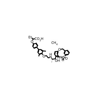 C.CCC(Oc1ccc(-c2cc(C)c(OCCN[C@@H](C)[C@H](O)c3ccc4cc3NS(=O)(=O)c3cccc(c3)CO4)c(C)c2)cc1)C(=O)O